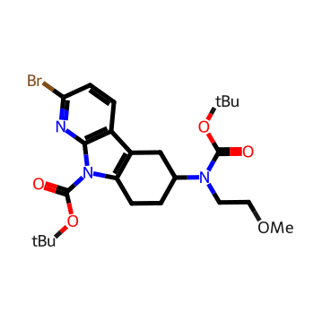 COCCN(C(=O)OC(C)(C)C)C1CCc2c(c3ccc(Br)nc3n2C(=O)OC(C)(C)C)C1